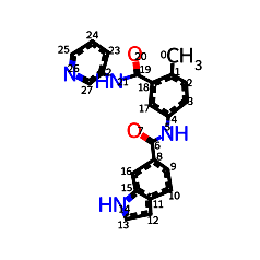 Cc1ccc(NC(=O)c2ccc3cc[nH]c3c2)cc1C(=O)Nc1cccnc1